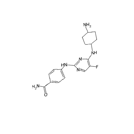 NC(=O)c1ccc(Nc2ncc(F)c(NC3CCC(N)CC3)n2)cc1